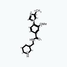 COc1cc(C(=O)NCC2CCCNC2)ccc1-n1cnc(C)c1